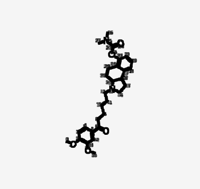 COc1ccc(C(=O)CCCCCN2CCC3c4cccc(OC(=O)N(C)C)c4CCC32)cc1OC